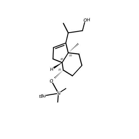 CC(CO)C1=CC[C@H]2[C@@H](O[Si](C)(C)C(C)(C)C)CCC[C@]12C